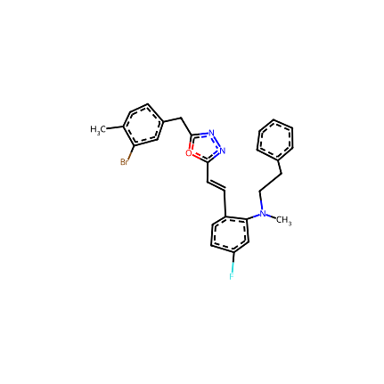 Cc1ccc(Cc2nnc(/C=C/c3ccc(F)cc3N(C)CCc3ccccc3)o2)cc1Br